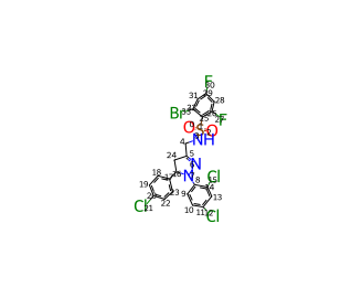 O=S(=O)(NCC1=NN(c2ccc(Cl)cc2Cl)C(c2ccc(Cl)cc2)C1)c1c(F)cc(F)cc1Br